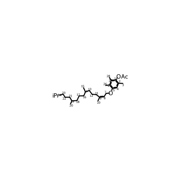 CC(=O)Oc1c(C)cc(OCC=C(C)CCCC(C)CCCC(C)CCCC(C)C)c(C)c1C